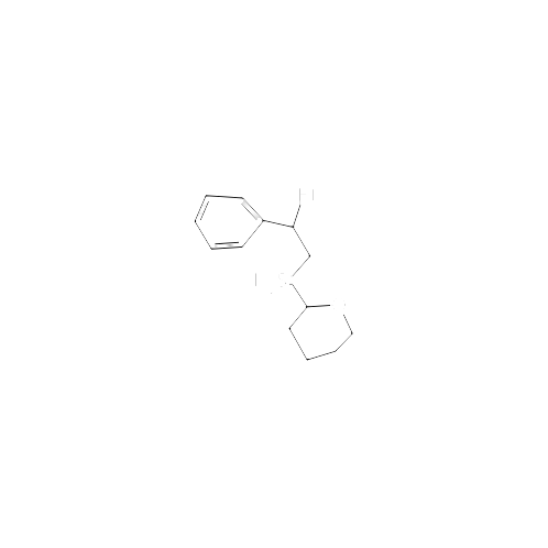 CCC(C[SiH2]C1CCCCO1)c1ccccc1